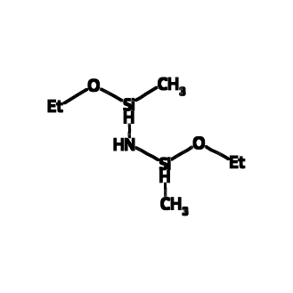 CCO[SiH](C)N[SiH](C)OCC